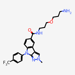 Cn1cc2c3cc(C(=O)NCCCOCCCN)ccc3n(-c3ccc(C(F)(F)F)cc3)c2n1